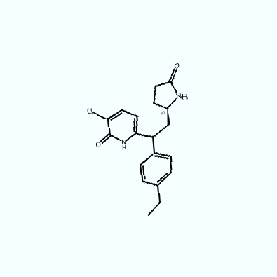 CCc1ccc(C(C[C@H]2CCC(=O)N2)c2ccc(Cl)c(=O)[nH]2)cc1